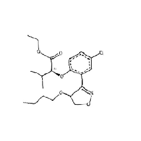 CCCCOC1CON=C1c1cc(Cl)ccc1O[C@H](C(=O)OCC)C(C)C